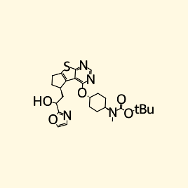 CN(C(=O)OC(C)(C)C)[C@H]1CC[C@H](Oc2ncnc3sc4c(c23)[C@@H](CC(O)c2ncco2)CC4)CC1